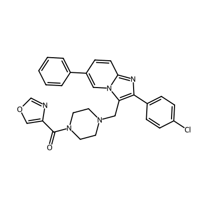 O=C(c1cocn1)N1CCN(Cc2c(-c3ccc(Cl)cc3)nc3ccc(-c4ccccc4)cn23)CC1